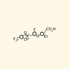 CCc1cc(Oc2cc(F)cc(CCNC(=O)c3ccc(C(F)(F)F)cc3Cl)c2)ccc1CCC(=O)O